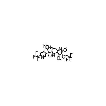 COc1nc2ccc(C(O)(c3ccc(C(F)(F)F)nc3)c3cncn3C)cc2c(OC)c1OCC(F)(F)F